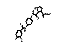 CNC(=O)c1nc[nH]c1C(=O)Nc1ccc(NC(=O)c2ccc(C)c(Cl)c2)cc1